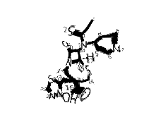 CC(=S)N(c1ccncc1)C1C(=O)N2CC(C(=O)O)(c3nncs3)CS[C@H]12